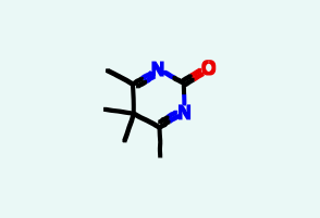 CC1=NC(=O)N=C(C)C1(C)C